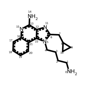 NCCCCn1c(CC2CC2)nc2c(N)nc3ccccc3c21